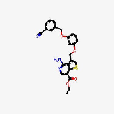 CCOC(=O)c1cnc(N)c2c(COc3cccc(OCc4cccc(C#N)c4)c3)csc12